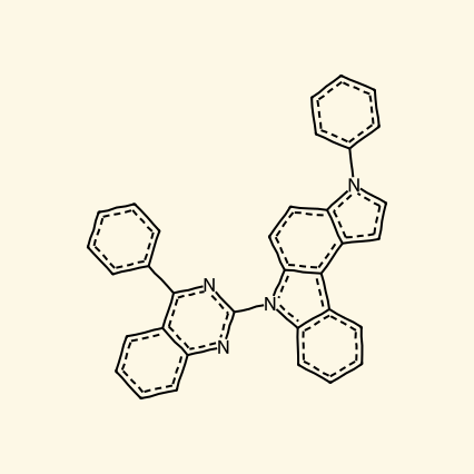 c1ccc(-c2nc(-n3c4ccccc4c4c5ccn(-c6ccccc6)c5ccc43)nc3ccccc23)cc1